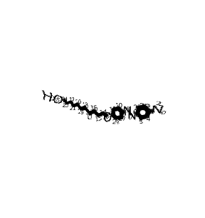 CN(C)c1ccc(N=Nc2ccc(OCCCCCCCCCC[CH]O)cc2)cc1